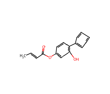 CC=CC(=O)Oc1ccc(-c2ccccc2)c(O)c1